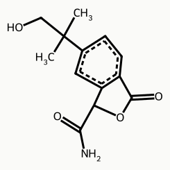 CC(C)(CO)c1ccc2c(c1)C(C(N)=O)OC2=O